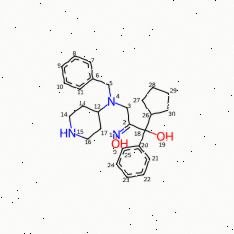 ON=C(CN(Cc1ccccc1)C1CCNCC1)C(O)(c1ccccc1)C1CCCC1